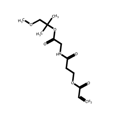 C=CC(=O)OCCC(=O)NCC(=O)OC(C)(C)COC